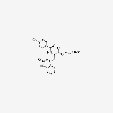 COCCOC(=O)C(Cc1cc(=O)[nH]c2ccccc12)NC(=O)c1ccc(Cl)cc1